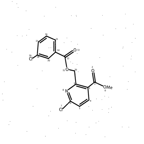 COC(=O)c1ccc(Cl)nc1COC(=O)c1cccc(Cl)c1